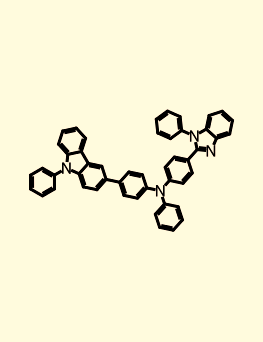 c1ccc(N(c2ccc(-c3ccc4c(c3)c3ccccc3n4-c3ccccc3)cc2)c2ccc(-c3nc4ccccc4n3-c3ccccc3)cc2)cc1